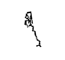 CC(C)CCCCCCCc1nccc(N2C3CCC2CN(C)C3)n1